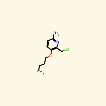 CCCCOc1ccc(C)nc1CCl